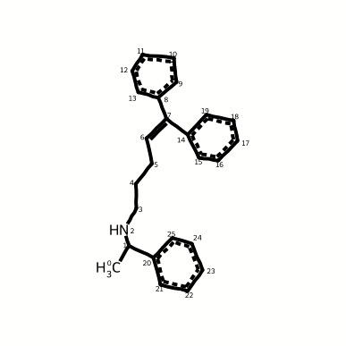 CC(NCCCC=C(c1ccccc1)c1ccccc1)c1ccccc1